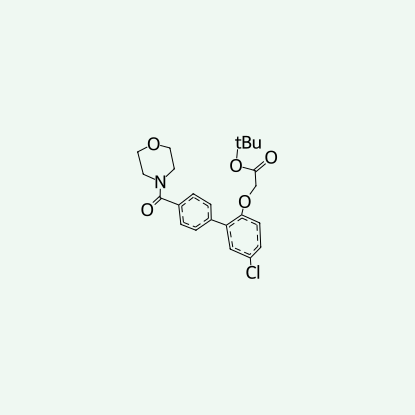 CC(C)(C)OC(=O)COc1ccc(Cl)cc1-c1ccc(C(=O)N2CCOCC2)cc1